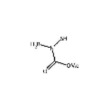 BN(S)C(=O)OC